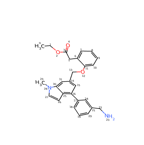 CCOC(=O)Cc1ccccc1OCc1cc(-c2cccc(CN)c2)c2ccn(C)c2c1